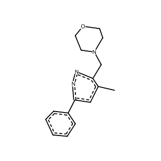 Cc1cc(-c2ccccc2)nnc1CN1CCOCC1